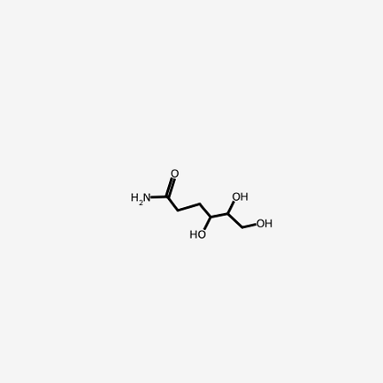 NC(=O)CCC(O)C(O)CO